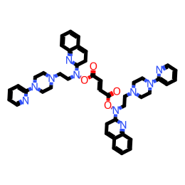 O=C(/C=C/C(=O)ON(CCN1CCN(c2ccccn2)CC1)C1CC=c2ccccc2=N1)ON(CCN1CCN(c2ccccn2)CC1)C1CC=c2ccccc2=N1